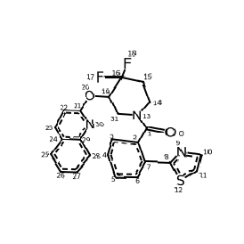 O=C(c1ccccc1-c1nccs1)N1CCC(F)(F)C(Oc2ccc3ccccc3n2)C1